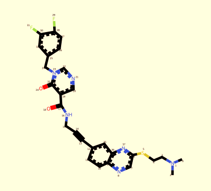 CN(C)CCSc1cnc2ccc(C#CCNC(=O)c3cncn(Cc4ccc(F)c(F)c4)c3=O)cc2n1